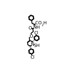 O=C(CCOCC1=CC[C@@H](c2ccc(Cl)cc2)N(S)[C@H]1c1cccc(Cl)c1)N[C@@H](Cc1ccccc1)C(=O)O